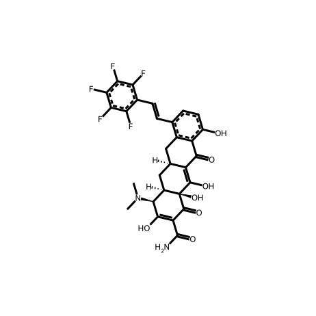 CN(C)[C@@H]1C(O)=C(C(N)=O)C(=O)[C@@]2(O)C(O)=C3C(=O)c4c(O)ccc(/C=C/c5c(F)c(F)c(F)c(F)c5F)c4C[C@@H]3C[C@H]12